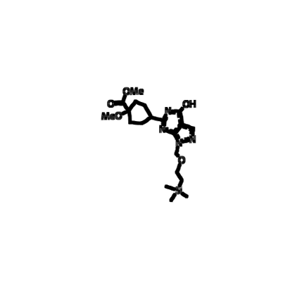 COC(=O)C1(OC)CCC(c2nc(O)c3cnn(COCC[Si](C)(C)C)c3n2)CC1